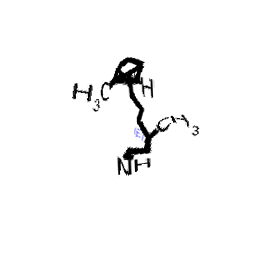 C/C(=C\CC[C@@H]1C2CC3C(C2)C31C)CC=N